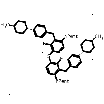 CCCCCc1ccc(Sc2ccc(CCCCC)c(Cc3ccc([C@H]4CC[C@H](C)CC4)cc3)c2F)c(F)c1Cc1ccc([C@H]2CC[C@H](C)CC2)cc1